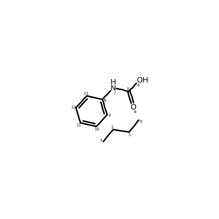 CCCC.O=C(O)Nc1ccccc1